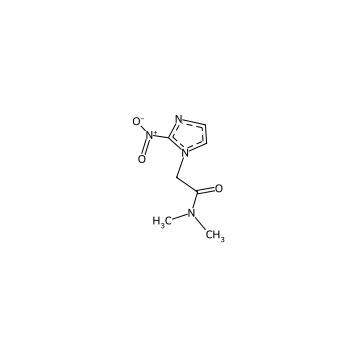 CN(C)C(=O)Cn1ccnc1[N+](=O)[O-]